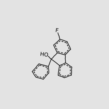 OC1(c2ccccc2)c2ccccc2-c2ccc(F)cc21